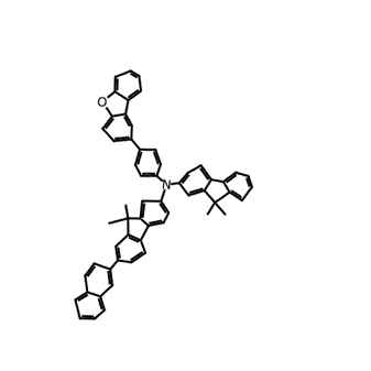 CC1(C)c2ccccc2-c2ccc(N(c3ccc(-c4ccc5oc6ccccc6c5c4)cc3)c3ccc4c(c3)C(C)(C)c3cc(-c5ccc6ccccc6c5)ccc3-4)cc21